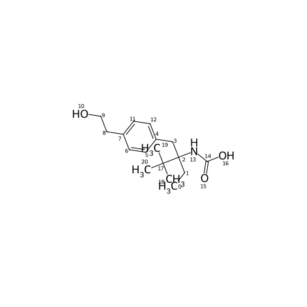 CCC(Cc1ccc(CCO)cc1)(NC(=O)O)C(C)(C)C